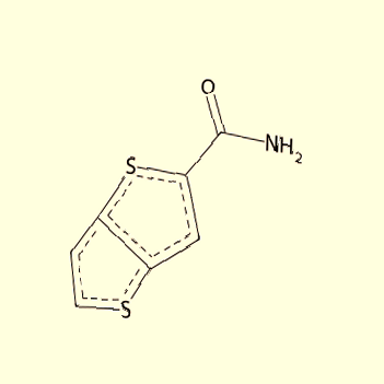 NC(=O)c1cc2sccc2s1